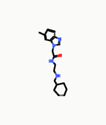 Cc1ccc2ncn(CC(=O)NCCNCC3CCCCC3)c2c1